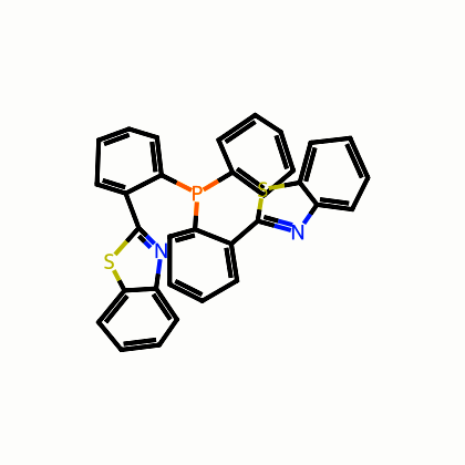 c1ccc(P(c2ccccc2-c2nc3ccccc3s2)c2ccccc2-c2nc3ccccc3s2)cc1